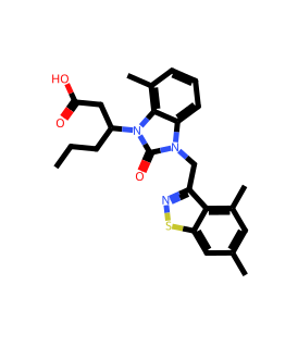 CCCC(CC(=O)O)n1c(=O)n(Cc2nsc3cc(C)cc(C)c23)c2cccc(C)c21